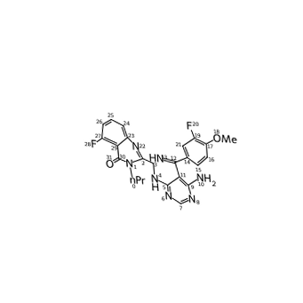 CCCn1c(CNc2ncnc(N)c2C(=N)c2ccc(OC)c(F)c2)nc2cccc(F)c2c1=O